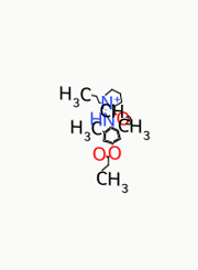 CCCC(=O)Oc1cc(C)c(NC(=O)C2CCCC[N+]2(C)CCC)c(C)c1